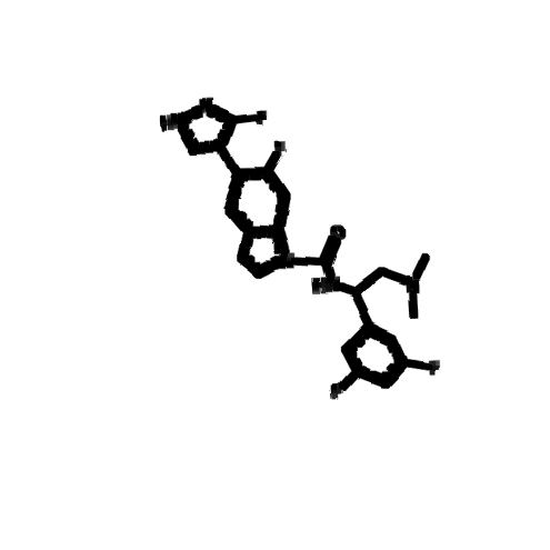 CN(C)CC(NC(=O)n1ccc2cc(-c3c[nH]nc3F)c(F)cc21)c1cc(F)cc(F)c1